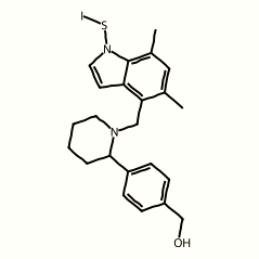 Cc1cc(C)c2c(ccn2SI)c1CN1CCCCC1c1ccc(CO)cc1